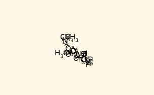 CCN(CC)CCOc1ccc(NC(=O)c2ccc(C(F)(F)F)cc2Cl)cc1OC